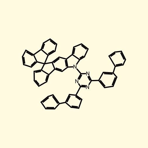 c1ccc(-c2cccc(-c3nc(-c4cccc(-c5ccccc5)c4)nc(-n4c5ccccc5c5cc6c(cc54)-c4ccccc4C64c5ccccc5-c5ccccc54)n3)c2)cc1